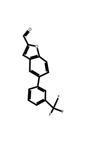 O=Cc1cc2cc(-c3cccc(C(F)(F)F)c3)ccc2o1